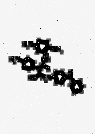 CC(O)N(c1ccc(N)cc1)C(C)O.Nc1ccc(N)c(Cl)c1.Nc1ccc(Nc2ccccc2)cc1